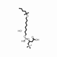 CCCCC(C)(C)OCCCCCCCCO[P@](O)OC(CC(=O)O)C[N+](C)(C)C.[OH-]